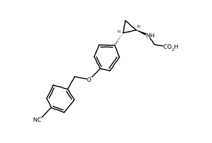 N#Cc1ccc(COc2ccc([C@@H]3C[C@H]3NCC(=O)O)cc2)cc1